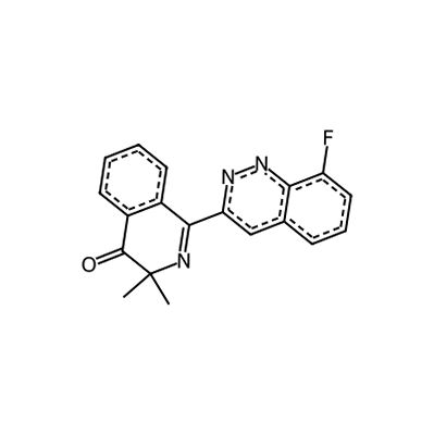 CC1(C)N=C(c2cc3cccc(F)c3nn2)c2ccccc2C1=O